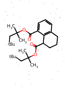 CC(C)(C)CC(C)(C)OC(=O)c1cccc2c1C(C(=O)OC(C)(C)CC(C)(C)C)CCC2